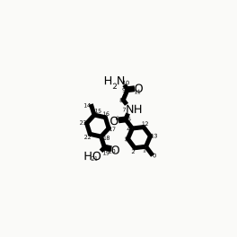 CC1CCC(C(=O)NCC(N)=O)CC1.CC1CCC(C(=O)O)CC1